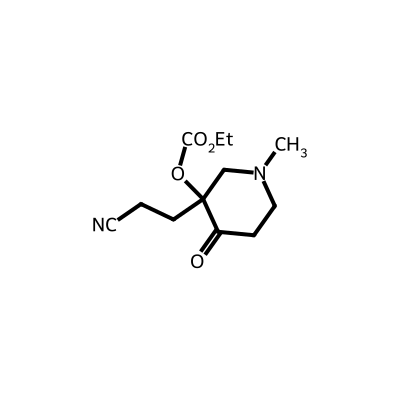 CCOC(=O)OC1(CCC#N)CN(C)CCC1=O